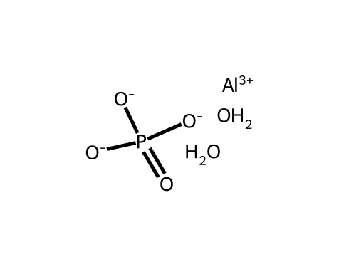 O.O.O=P([O-])([O-])[O-].[Al+3]